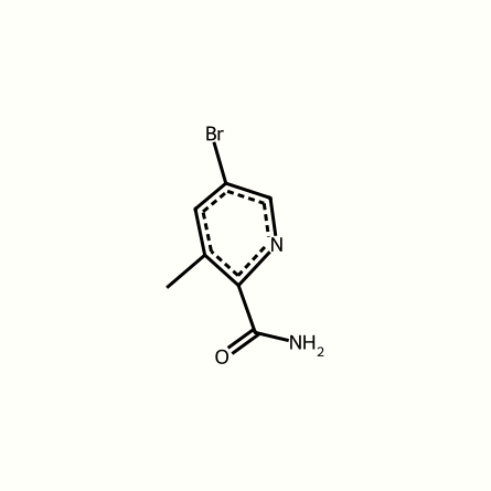 Cc1cc(Br)cnc1C(N)=O